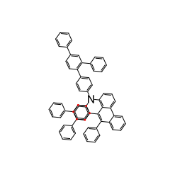 c1ccc(-c2ccc(-c3ccc(N(c4ccc(-c5ccccc5)c(-c5ccccc5)c4)c4cccc5c4c(-c4ccccc4)c(-c4ccccc4)c4ccccc45)cc3)c(-c3ccccc3)c2)cc1